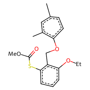 CCOc1cccc(SC(=O)OC)c1COc1ccc(C)cc1C